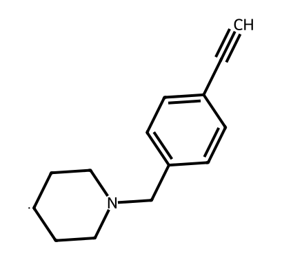 C#Cc1ccc(CN2CC[CH]CC2)cc1